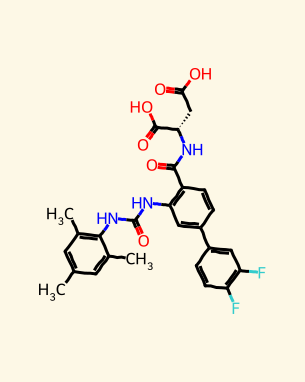 Cc1cc(C)c(NC(=O)Nc2cc(-c3ccc(F)c(F)c3)ccc2C(=O)N[C@@H](CC(=O)O)C(=O)O)c(C)c1